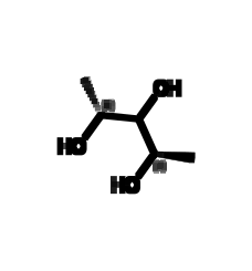 C[C@@H](O)C(O)[C@@H](C)O